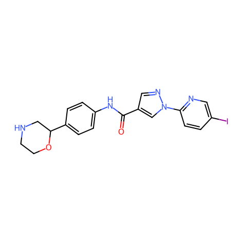 O=C(Nc1ccc(C2CNCCO2)cc1)c1cnn(-c2ccc(I)cn2)c1